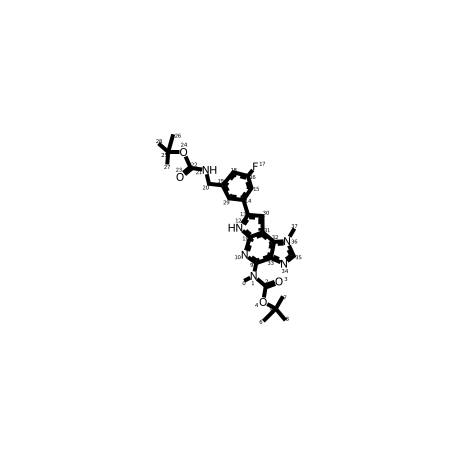 CN(C(=O)OC(C)(C)C)c1nc2[nH]c(-c3cc(F)cc(CNC(=O)OC(C)(C)C)c3)cc2c2c1ncn2C